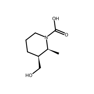 C[C@H]1[C@@H](CO)CCCN1C(=O)O